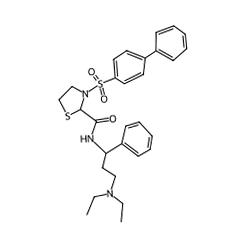 CCN(CC)CCC(NC(=O)C1SCCN1S(=O)(=O)c1ccc(-c2ccccc2)cc1)c1ccccc1